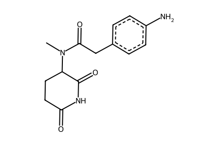 CN(C(=O)Cc1ccc(N)cc1)C1CCC(=O)NC1=O